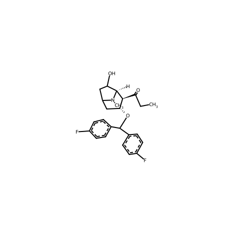 CCC(=O)[C@H]1[C@H](OC(c2ccc(F)cc2)c2ccc(F)cc2)CC2CC(O)[C@@H]1N2C